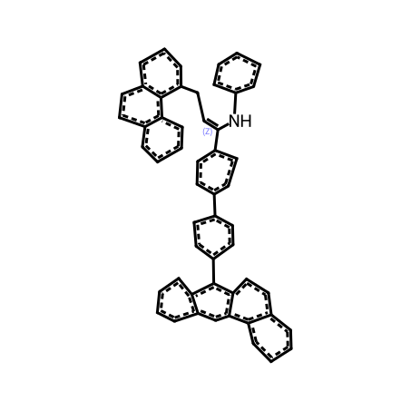 C(/Cc1cccc2ccc3ccccc3c12)=C(/Nc1ccccc1)c1ccc(-c2ccc(-c3c4ccccc4cc4c3ccc3ccccc34)cc2)cc1